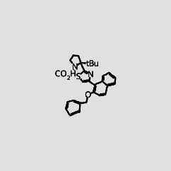 CC(C)(C)C1(c2nc(-c3c(OCc4ccccc4)ccc4ccccc34)cs2)CCCN1C(=O)O